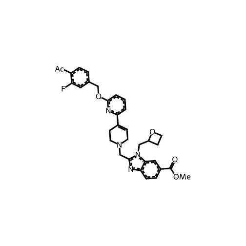 COC(=O)c1ccc2nc(CN3CC=C(c4cccc(OCc5ccc(C(C)=O)c(F)c5)n4)CC3)n(CC3CCO3)c2c1